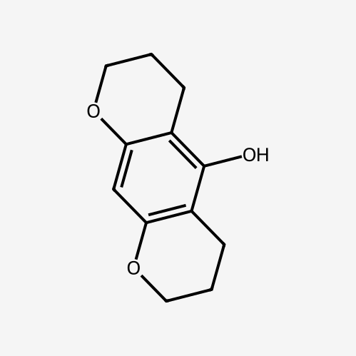 Oc1c2c(cc3c1CCCO3)OCCC2